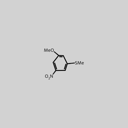 COc1cc(SC)cc([N+](=O)[O-])c1